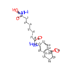 O=C(CCCCCCC(=O)Nc1ccc2c(c1)CCCC2=O)NO